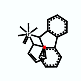 [CH2]=[Hf]([CH3])([CH3])([CH3])([CH3])([CH]1C=CC=C1)[CH]1c2ccccc2-c2ccccc21